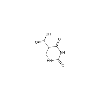 O=C1NCC(C(=O)O)C(=O)N1